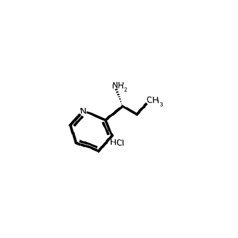 CC[C@@H](N)c1ccccn1.Cl